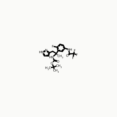 CC(C)(C)OC(=O)N[C@@](C)(Cc1cc[nH]n1)c1cc(NC(=O)C(F)(F)F)ccc1F